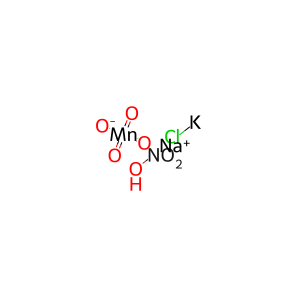 O=[N+]([O-])O.[Cl][K].[Na+].[O]=[Mn](=[O])(=[O])[O-]